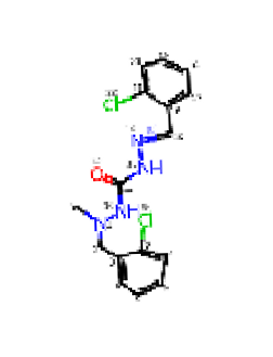 CN(Cc1ccccc1Cl)NC(=O)N/N=C/c1ccccc1Cl